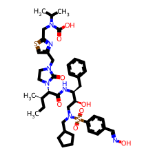 CC[C@H](C)[C@@H](C(=O)N[C@@H](Cc1ccccc1)[C@@H](O)CN(CC1CCCC1)S(=O)(=O)c1ccc(C=NO)cc1)N1CCN(Cc2csc(CN(C(=O)O)C(C)C)n2)C1=O